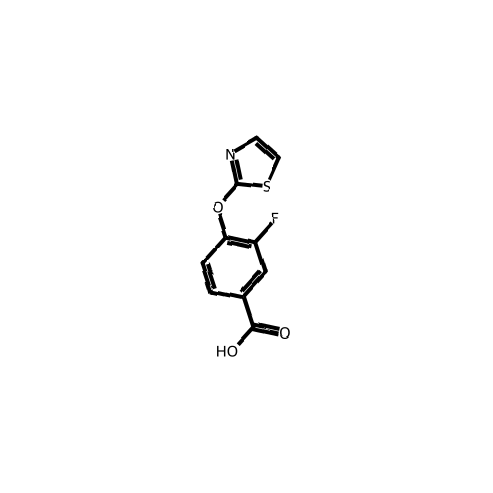 O=C(O)c1ccc(Oc2nccs2)c(F)c1